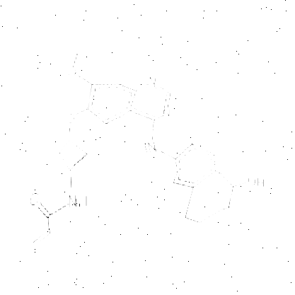 C=CC(=O)NC1CC(Oc2cc3c(Nc4ccc5c(c4)CCCC5O)ncnc3cc2OC)C1